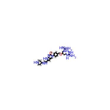 N=C(N)NCC[C@H](CNC(=N)N)OCc1ccc(-n2cc3cc(CCNC4CCNCC4)[nH]c3nc2=O)cc1